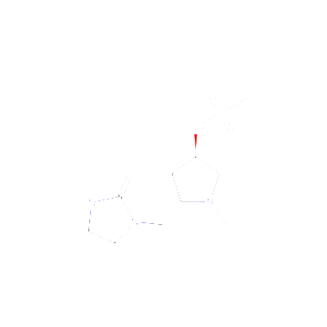 CN1C[C@H](OS(C)(=O)=O)C[C@H]1CN1CCNC1=O